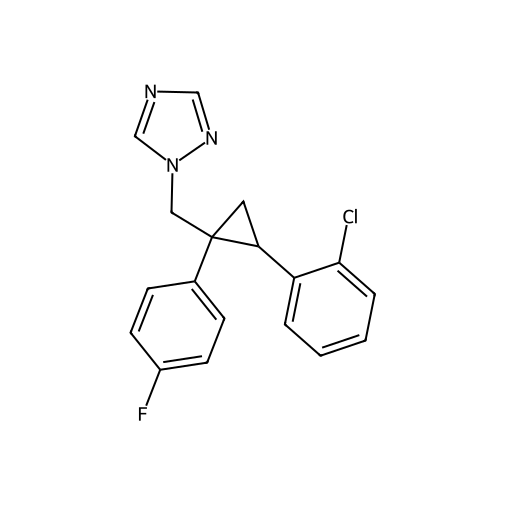 Fc1ccc(C2(Cn3cncn3)CC2c2ccccc2Cl)cc1